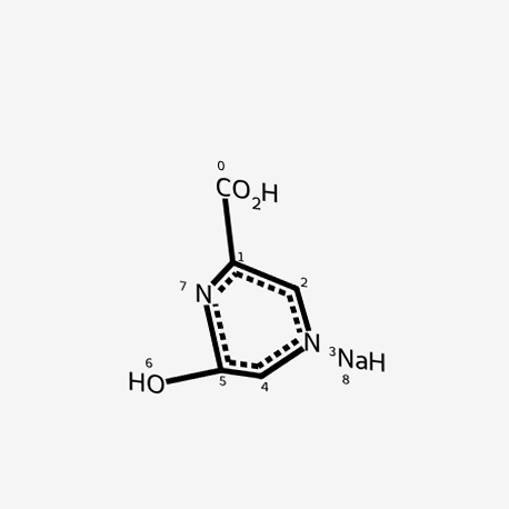 O=C(O)c1cncc(O)n1.[NaH]